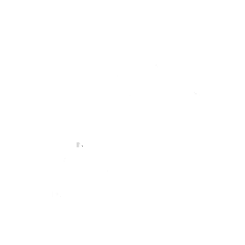 CCOC(=O)C(Cc1cccc(OC(=O)OC(C)(C)C)c1)NC(=O)OC(C)(C)C